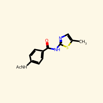 CC(=O)Nc1ccc(C(=O)Nc2ncc(C)s2)cc1